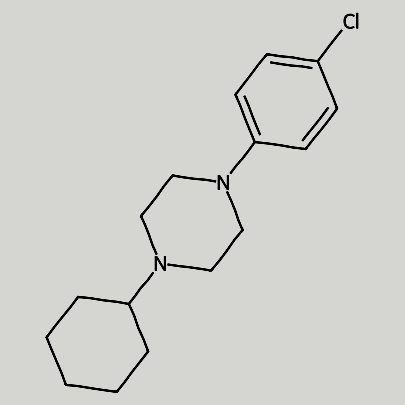 Clc1ccc(N2CCN(C3CCCCC3)CC2)cc1